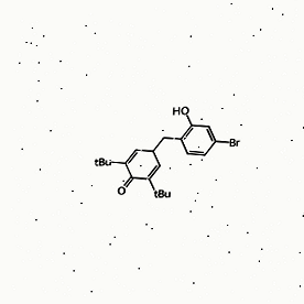 CC(C)(C)C1=CC(Cc2ccc(Br)cc2O)C=C(C(C)(C)C)C1=O